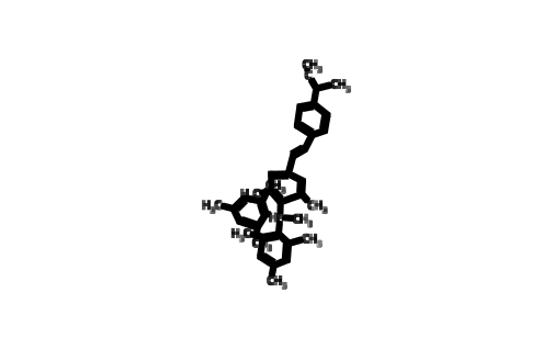 CCC(C)c1ccc(/C=C/c2cc(C)c([PH](C)(c3c(C)cc(C)cc3C)c3c(C)cc(C)cc3C)c(C)c2)cc1